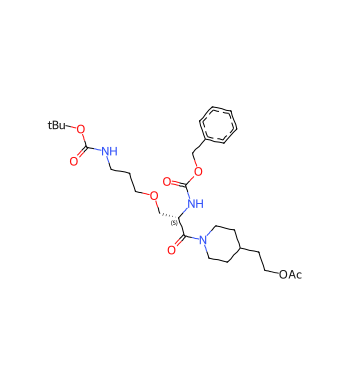 CC(=O)OCCC1CCN(C(=O)[C@H](COCCCNC(=O)OC(C)(C)C)NC(=O)OCc2ccccc2)CC1